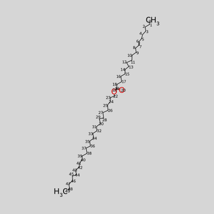 CCCCCCC=CCCCCCCCCCCCC(=O)OCCCCCCCCCCCCCCCCCCCCCCCCCCCC